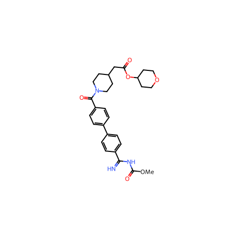 COC(=O)NC(=N)c1ccc(-c2ccc(C(=O)N3CCC(CC(=O)OC4CCOCC4)CC3)cc2)cc1